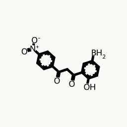 Bc1ccc(O)c(C(=O)CC(=O)c2ccc([N+](=O)[O-])cc2)c1